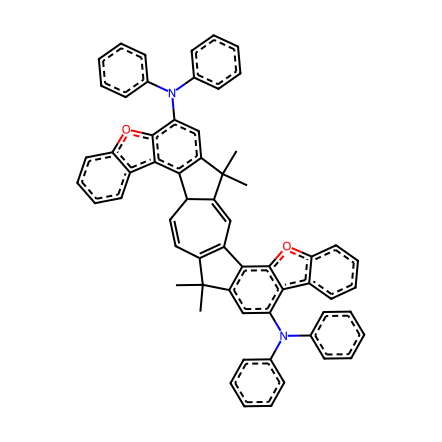 CC1(C)C2=C(C=C3C(C=C2)c2c(cc(N(c4ccccc4)c4ccccc4)c4oc5ccccc5c24)C3(C)C)c2c1cc(N(c1ccccc1)c1ccccc1)c1c2oc2ccccc21